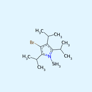 CC(C)c1c(Br)c(C(C)C)n([SiH3])c1C(C)C